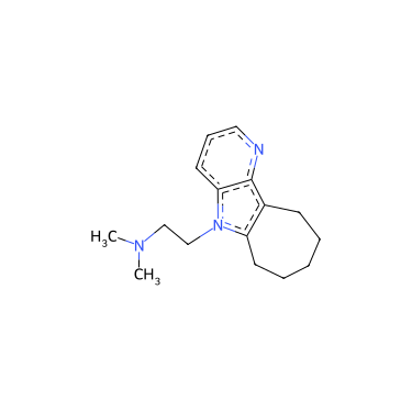 CN(C)CCn1c2c(c3ncccc31)CCCCC2